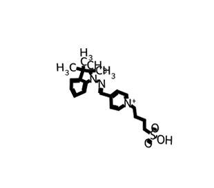 CC1(C)c2ccccc2N(N=Cc2cc[n+](CCCCS(=O)(=O)O)cc2)C1(C)C